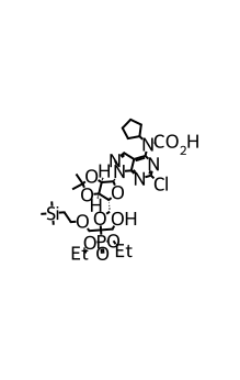 CCOP(=O)(OCC)C(CO)(COCC[Si](C)(C)C)OC[C@H]1O[C@@H](n2ncc3c(N(C(=O)O)C4CCCC4)nc(Cl)nc32)[C@@H]2OC(C)(C)O[C@@H]21